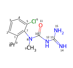 CC(C)c1cccc(Cl)c1N(C)C(=O)NC(=N)N